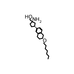 CCCCCCCOC1CCc2cc([C@H]3CC[C@@](N)(CO)C3)ccc2C1